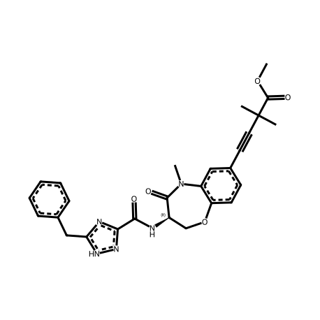 COC(=O)C(C)(C)C#Cc1ccc2c(c1)N(C)C(=O)[C@H](NC(=O)c1n[nH]c(Cc3ccccc3)n1)CO2